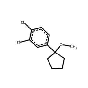 COC1(c2ccc(Cl)c(Cl)c2)CCCC1